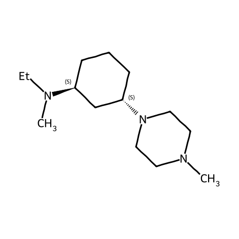 CCN(C)[C@H]1CCC[C@H](N2CCN(C)CC2)C1